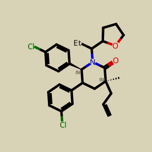 C=CC[C@@]1(C)CC(c2cccc(Cl)c2)[C@@H](c2ccc(Cl)cc2)N(C(CC)C2CCCO2)C1=O